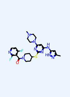 Cc1cc(Nc2cc(N3CCN(C)CC3)nc(SC3CCN(C(=O)c4c(F)ccnc4F)CC3)n2)[nH]n1